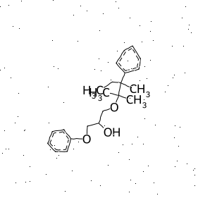 CCC(C)(c1ccccc1)C(C)(C)OCC(O)COc1ccccc1